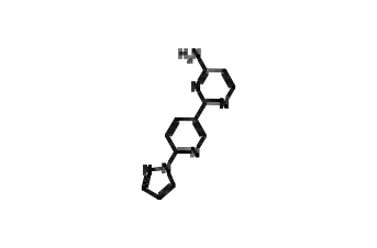 Nc1ccnc(-c2ccc(-n3cccn3)nc2)n1